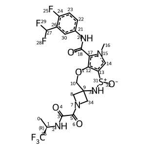 C[C@@H](NC(=O)C(=O)N1CC2(COc3c(cn(C)c3C(=O)Nc3ccc(F)c(C(F)F)c3)[S+]([O-])N2)C1)C(F)(F)F